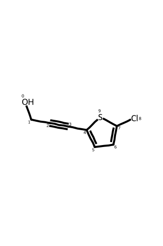 OCC#Cc1ccc(Cl)s1